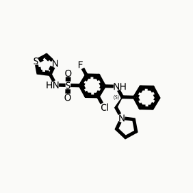 O=S(=O)(Nc1cscn1)c1cc(Cl)c(N[C@H](CN2CCCC2)c2ccccc2)cc1F